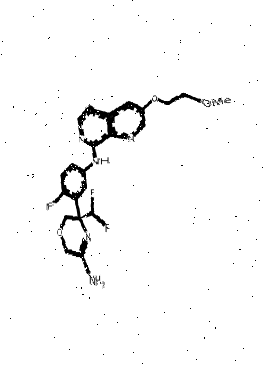 COCCOc1cnc2c(Nc3ccc(F)c([C@@]4(C(F)F)COCC(N)=N4)c3)nccc2c1